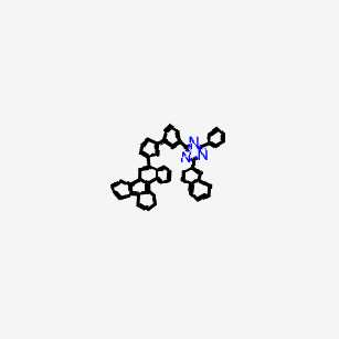 c1ccc(-c2nc(-c3cccc(-c4cccc(-c5cc6c7ccccc7c7ccccc7c6c6ccccc56)c4)c3)nc(-c3ccc4ccccc4c3)n2)cc1